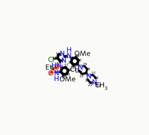 CCS(=O)(=O)Nc1c(Nc2nc(Nc3cc(C)c(N4CCC(N5CCN(C)CC5)CC4)cc3OC)ncc2Cl)cccc1OC